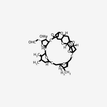 C=C1C(C)C[C@@H]2CC[C@@H]3OC(=CC3(C)C)CC[C@@]34C[C@H]5OC6C(O3)[C@H]3OC(CCC3O[C@H]6C5O4)CC(=O)CC3[C@H](CC1O2)O[C@H](CC=O)[C@@H]3OC